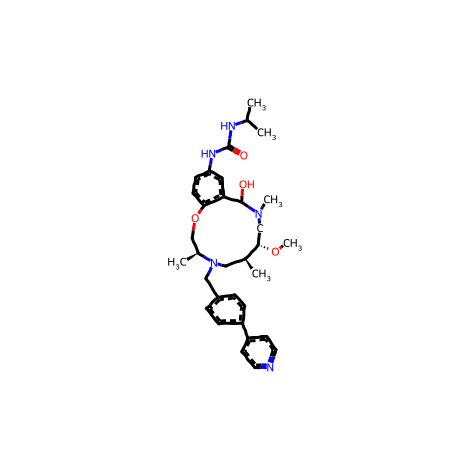 CO[C@H]1CN(C)C(O)c2cc(NC(=O)NC(C)C)ccc2OC[C@H](C)N(Cc2ccc(-c3ccncc3)cc2)C[C@@H]1C